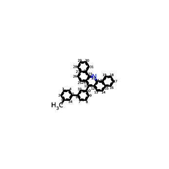 Cc1cccc(-c2cccc(-c3c4ccc5ccccc5c4nc4c3ccc3ccccc34)c2)c1